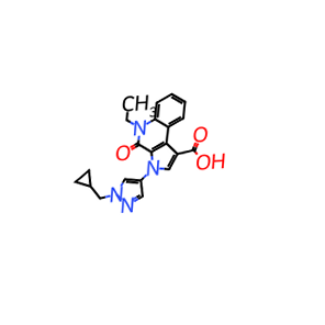 CCn1c(=O)c2c(c(C(=O)O)cn2-c2cnn(CC3CC3)c2)c2ccccc21